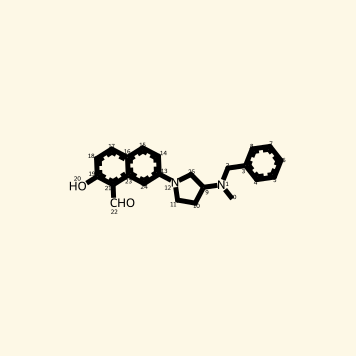 CN(Cc1ccccc1)C1CCN(c2ccc3ccc(O)c(C=O)c3c2)C1